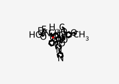 CCOc1ccccc1C1(N2CCN(c3ccncc3)CC2)C(=O)N(S(=O)(=O)c2ccc(OC)cc2OCC)c2ccc(C#N)cc21.O=C(O)C(F)(F)F